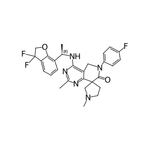 Cc1nc(N[C@H](C)c2cccc3c2OCC3(F)F)c2c(n1)C1(CCN(C)C1)C(=O)N(c1ccc(F)cc1)C2